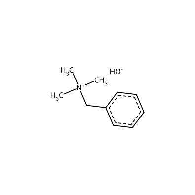 C[N+](C)(C)Cc1ccccc1.[OH-]